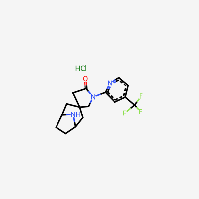 Cl.O=C1CC2(CC3CCC(C2)N3)CN1c1cc(C(F)(F)F)ccn1